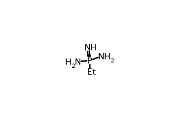 CCP(=N)(N)N